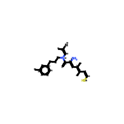 C=C(/C(N)=C/C(C)=C(C)/C=C\S)N(/C=C(\C)CC)CCCc1cccc(C)c1